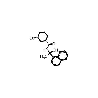 CCN1CCC[C@H](C(=O)NC(C)(C)c2cccc3ccccc23)C1